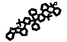 CC(C)(C)c1ccc([Si](c2ccccc2)(c2ccccc2)c2ccc(C(C)(C)C)c(-c3cccc4c3sc3nc5ccccc5n34)c2)cc1-c1cccc2c1Sc1ccccc1C2(C)Cl